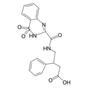 O=C(O)CC(CNC(=O)C1=Nc2ccccc2S(=O)(=O)N1)c1ccccc1